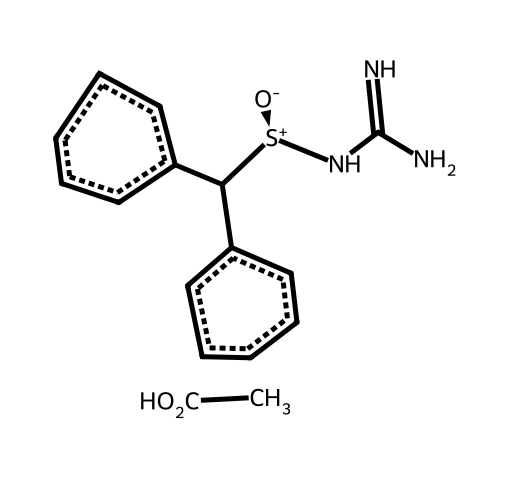 CC(=O)O.N=C(N)N[S@+]([O-])C(c1ccccc1)c1ccccc1